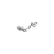 Cc1ccc(NC(=O)c2cccnc2)cc1CCN1CC=C(C2=CN=C3C2=CC=CC3Cl)CC1